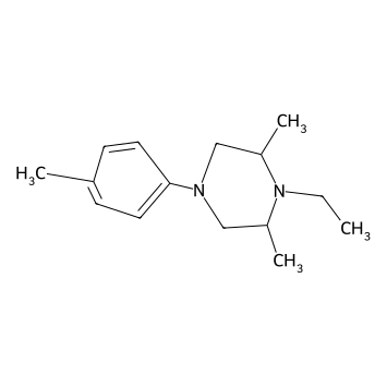 CCN1C(C)CN(c2ccc(C)cc2)CC1C